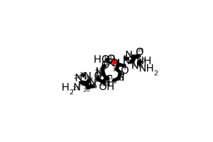 Nc1nc2c(ncn2[C@@H]2O[C@@H]3CCC[C@H]4[C@@H](O)[C@H](n5ccc6c(N)ncnc65)O[C@@H]4COP(=O)(O)O[C@@H]2C3)c(=O)[nH]1